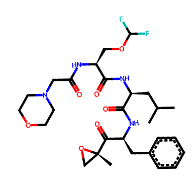 CC(C)C[C@H](NC(=O)[C@H](COC(F)F)NC(=O)CN1CCOCC1)C(=O)N[C@@H](Cc1ccccc1)C(=O)[C@]1(C)CO1